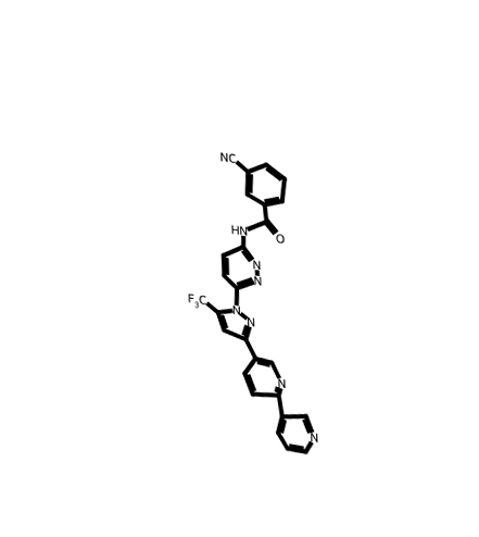 N#Cc1cccc(C(=O)Nc2ccc(-n3nc(-c4ccc(-c5cccnc5)nc4)cc3C(F)(F)F)nn2)c1